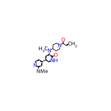 C=CC(=O)N1CCC(N(C)c2cc(-c3ccnc(NC)c3)c[nH]c2=O)CC1